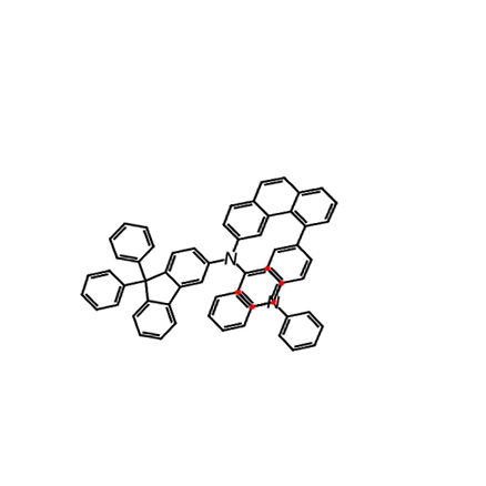 c1ccc(N(c2ccccc2)c2ccc(-c3cccc4ccc5ccc(N(c6ccccc6)c6ccc7c(c6)-c6ccccc6C7(c6ccccc6)c6ccccc6)cc5c34)cc2)cc1